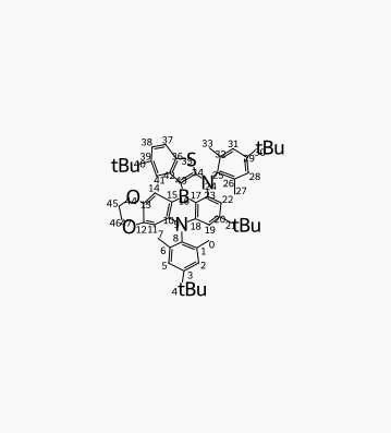 Cc1cc(C(C)(C)C)cc(C)c1N1c2cc3c(cc2B2c4c1cc(C(C)(C)C)cc4N(c1c(C)cc(C(C)(C)C)cc1C)c1sc4ccc(C(C)(C)C)cc4c12)OCCO3